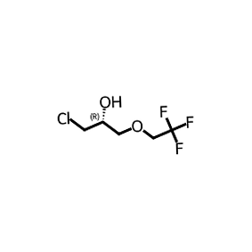 O[C@@H](CCl)COCC(F)(F)F